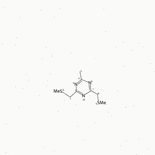 CSCc1nc(C)nc(CSC)n1